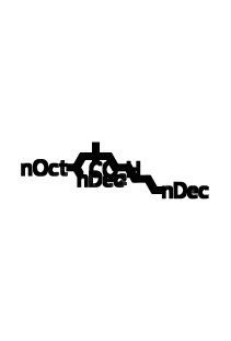 CCCCCCCCCCCCCCCCC(C)(CC(CCCCCCCC)CCCCCCCCCC)C(=O)O